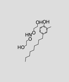 CCCCCCCCCc1ccc(O)c(C)c1.OCCONOCCO